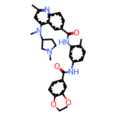 Cc1cc(N(C)C2CCN(C)C2)c2cc(C(=O)Nc3cc(NC(=O)c4ccc5c(c4)OCCO5)ccc3C)ccc2n1